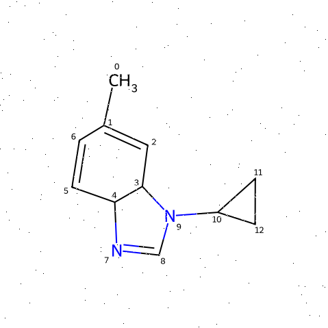 CC1=CC2C(C=C1)N=CN2C1CC1